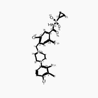 Cc1c(Cl)ccc(N2CCN(Cc3cc(F)c(C(=O)NS(=O)(=O)C4CC4)cc3Cl)CC2)c1F